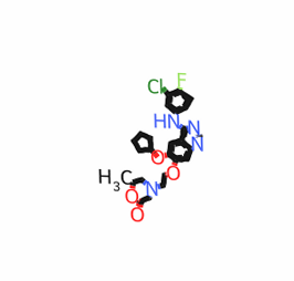 CC1CN(CCOc2cc3ncnc(Nc4ccc(F)c(Cl)c4)c3cc2OC2CCCC2)CC(=O)O1